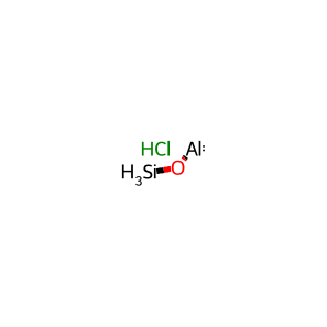 Cl.[Al][O][SiH3]